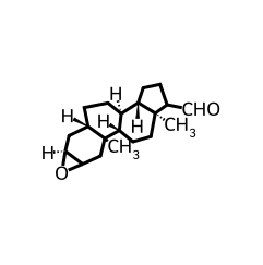 C[C@]12CC3O[C@H]3C[C@@H]1CC[C@@H]1[C@@H]2CC[C@]2(C)C(C=O)CC[C@@H]12